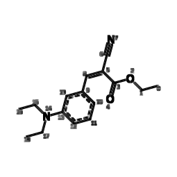 CCOC(=O)C(C#N)=Cc1cccc(N(CC)CC)c1